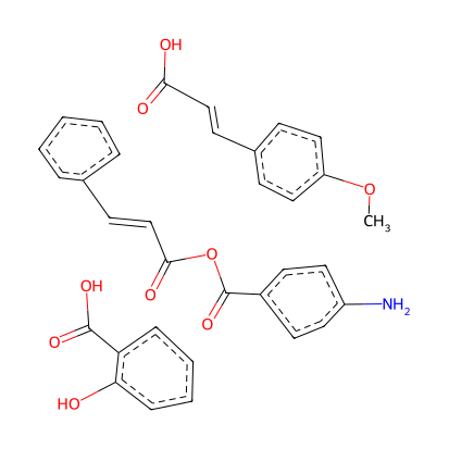 COc1ccc(C=CC(=O)O)cc1.Nc1ccc(C(=O)OC(=O)C=Cc2ccccc2)cc1.O=C(O)c1ccccc1O